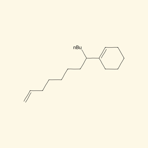 C=CCCCCCC(CCCC)C1=CCCCC1